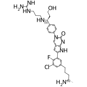 C[C@H](N)CCCc1cc(Cl)c(F)c(-c2cc3cn(-c4ccc([C@H](CCO)NCCCNC(=N)N)cc4)c(=O)nc3[nH]2)c1